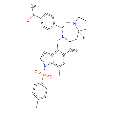 COC(=O)c1ccc(C2CN3CCC[C@H]3CCN2Cc2c(OC)cc(C)c3c2ccn3S(=O)(=O)c2ccc(C)cc2)cc1